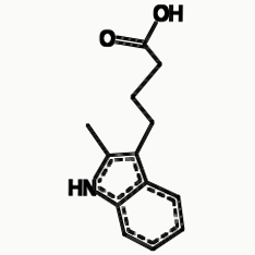 Cc1[nH]c2ccccc2c1CCCC(=O)O